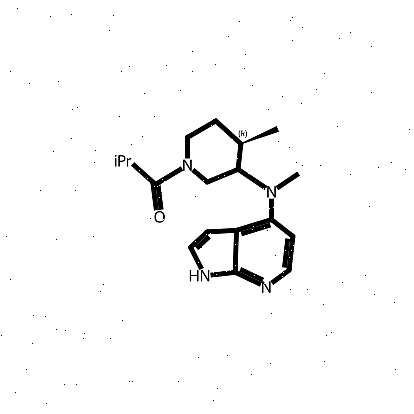 CC(C)C(=O)N1CC[C@@H](C)C(N(C)c2ccnc3[nH]ccc23)C1